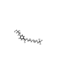 CCC(C)(C)N=Cc1ccc(N(C)CCOCCOCCC(C)(C)C)cc1